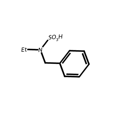 CCN(Cc1ccccc1)S(=O)(=O)O